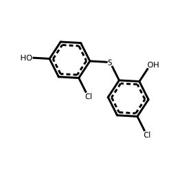 Oc1ccc(Sc2ccc(Cl)cc2O)c(Cl)c1